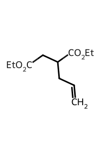 C=CCC(CC(=O)OCC)C(=O)OCC